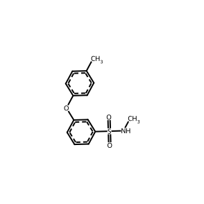 CNS(=O)(=O)c1cccc(Oc2ccc(C)cc2)c1